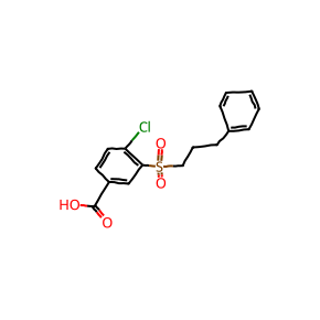 O=C(O)c1ccc(Cl)c(S(=O)(=O)CCCc2ccccc2)c1